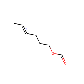 C/C=C/CCCO[C]=O